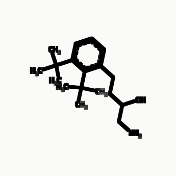 CC(C)(C)c1cccc(CCC(O)CN)c1C(C)(C)C